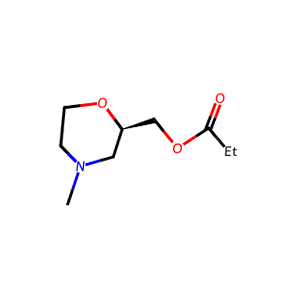 CCC(=O)OC[C@H]1CN(C)CCO1